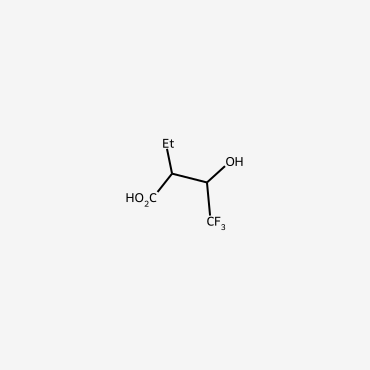 CCC(C(=O)O)C(O)C(F)(F)F